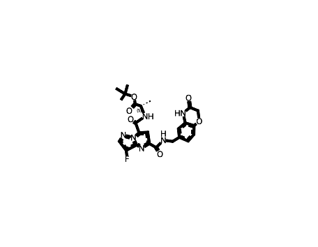 C[C@H](NC(=O)c1cc(C(=O)NCc2ccc3c(c2)NC(=O)CO3)nc2c(F)cnn12)C(=O)OC(C)(C)C